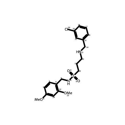 COc1ccc(CNS(=O)(=O)CCCNCc2cccc(Cl)c2)c(OC)c1